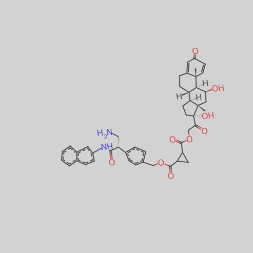 C[C@]12C=CC(=O)C=C1CC[C@@H]1[C@@H]2[C@@H](O)C[C@@]2(C)[C@H]1CC[C@]2(O)C(=O)COC(=O)C1CC1C(=O)OCc1ccc([C@@H](CN)C(=O)Nc2ccc3ccccc3c2)cc1